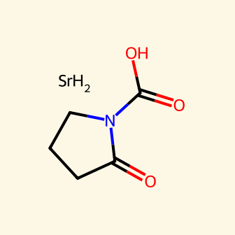 O=C(O)N1CCCC1=O.[SrH2]